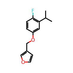 CC(C)c1cc(OCc2ccoc2)ccc1F